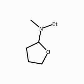 [CH2]CN(C)C1CCCO1